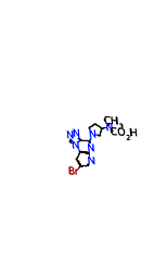 CN(C(=O)O)C1CCN(c2nc3ncc(Br)cc3n3cnnc23)C1